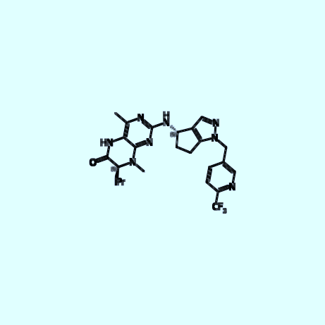 Cc1nc(N[C@H]2CCc3c2cnn3Cc2ccc(C(F)(F)F)nc2)nc2c1NC(=O)[C@H](C(C)C)N2C